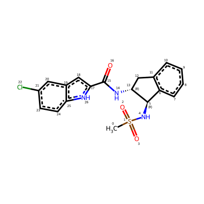 CS(=O)(=O)N[C@@H]1c2ccccc2C[C@H]1NC(=O)c1cc2cc(Cl)ccc2[nH]1